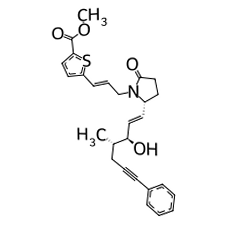 COC(=O)c1ccc(C=CCN2C(=O)CC[C@@H]2C=C[C@@H](O)[C@@H](C)CC#Cc2ccccc2)s1